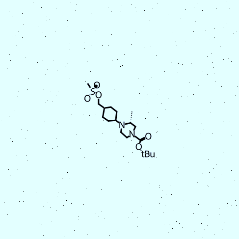 C[C@@H]1CN(C(=O)OC(C)(C)C)CCN1C1CCC(COS(C)(=O)=O)CC1